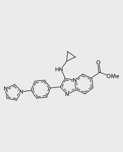 COC(=O)c1ccc2nc(-c3ccc(-n4ccnc4)cc3)c(NC3CC3)n2c1